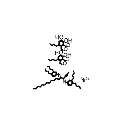 CC#CC(=Nc1ccc(CCCC)c(CCCC)c1)C(C=CCCCCCCCCCC)=Nc1ccc(CCCC)c(CCCC)c1.CCCCc1cc(O)c(O)c(C(=O)[O-])c1CC.CCCCc1cc(O)c(O)c(C(=O)[O-])c1CC.[Ni+2]